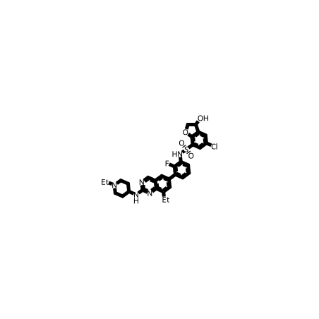 CCc1cc(-c2cccc(NS(=O)(=O)c3cc(Cl)cc4c3OCC4O)c2F)cc2cnc(NC3CCN(CC)CC3)nc12